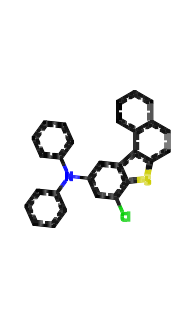 Clc1cc(N(c2ccccc2)c2ccccc2)cc2c1sc1ccc3ccccc3c12